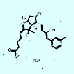 Cc1cccc(C[C@H](O)C=C[C@@H]2[C@@H]3[C@H](C[C@H]2O)O/C(=C/CCCC(=O)[O-])C3(F)F)c1.[Na+]